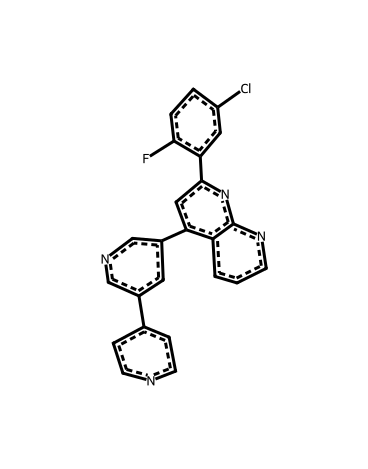 Fc1ccc(Cl)cc1-c1cc(-c2cncc(-c3ccncc3)c2)c2cccnc2n1